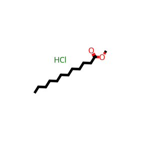 CCCCCCCCCCCC(=O)OC.Cl